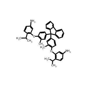 Cc1cc(C2(c3ccc(Oc4cc(N)ccc4C(C)C)c(C)c3)c3ccccc3-c3ccccc32)ccc1Oc1cc(N)ccc1C(C)C